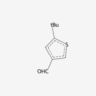 CC(C)(C)c1cc(C=O)cs1